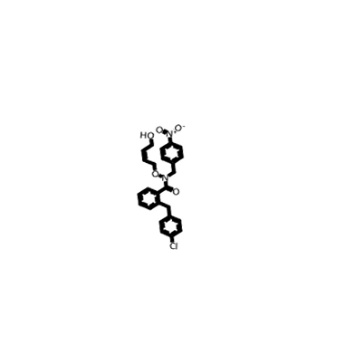 O=C(c1ccccc1Cc1ccc(Cl)cc1)N(Cc1ccc([N+](=O)[O-])cc1)OC/C=C\CO